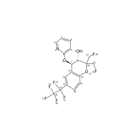 O[C@H]1[C@H](Oc2ccccn2)c2cc(C(F)(F)C(F)(F)F)ccc2OC1(CF)CF